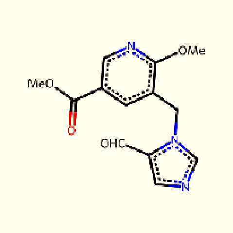 COC(=O)c1cnc(OC)c(Cn2cncc2C=O)c1